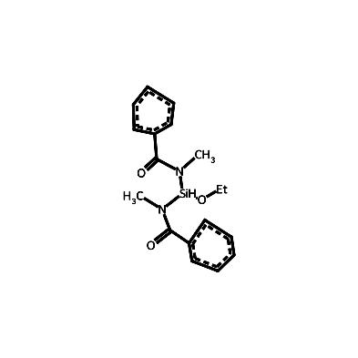 CCO[SiH](N(C)C(=O)c1ccccc1)N(C)C(=O)c1ccccc1